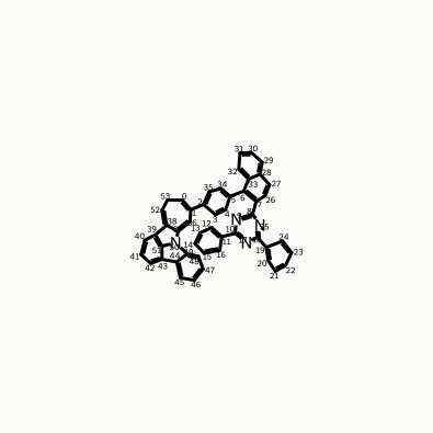 C1=C(c2ccc(-c3c(-c4nc(-c5ccccc5)nc(-c5ccccc5)n4)ccc4ccccc34)cc2)C=c2c(c3cccc4c5ccccc5n2c34)=CC1